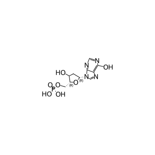 O=P(O)(O)OC[C@H]1O[C@@H](n2cnc3c(O)ncnc32)CC1O